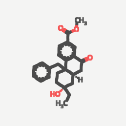 CC[C@@]1(O)CCC2(Cc3ccccc3)c3ccc(C(=O)OC)cc3C(=O)C[C@H]2C1